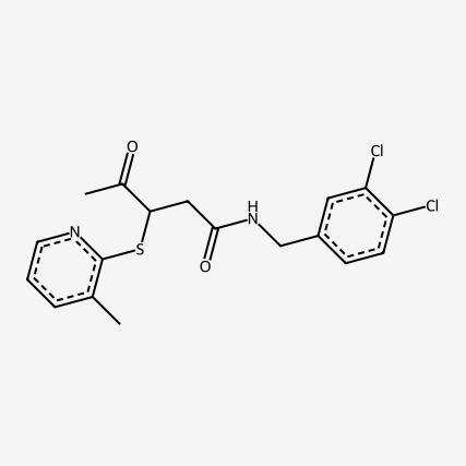 CC(=O)C(CC(=O)NCc1ccc(Cl)c(Cl)c1)Sc1ncccc1C